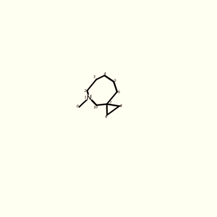 CN1CCCCCC2(CC2)C1